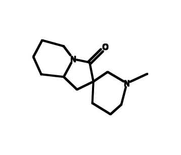 CN1CCCC2(CC3CCCCN3C2=O)C1